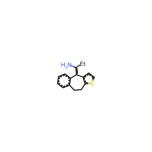 CC/C(N)=C1/c2ccccc2CCc2sccc21